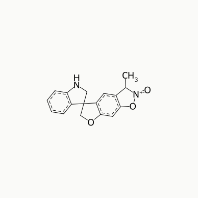 CC1c2cc3c(cc2O[N+]1=O)OCC31CNc2ccccc21